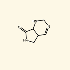 O=C1NCC2C=NCNC12